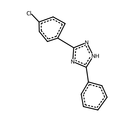 Clc1ccc(-c2n[nH]c(-c3ccccc3)n2)cc1